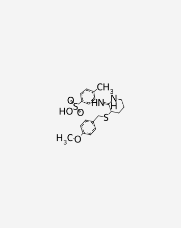 COc1ccc(CSC2CCCNC2=N)cc1.Cc1ccc(S(=O)(=O)O)cc1